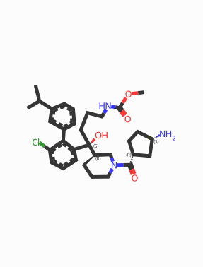 COC(=O)NCCC[C@@](O)(c1cccc(Cl)c1-c1cccc(C(C)C)c1)[C@@H]1CCCN(C(=O)[C@@H]2CC[C@H](N)C2)C1